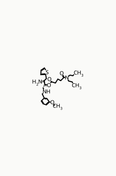 CCCN(CCC)C(=O)CCCC(=O)O[C@H](CNCc1cccc(OC)c1)[C@H](N)Cc1cccs1